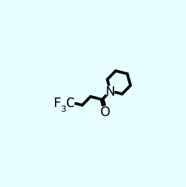 O=C(CCC(F)(F)F)N1CCCCC1